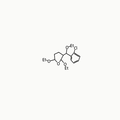 CCOC1CCC(C(OCC)c2ccccc2Cl)C(OCC)O1